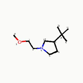 COCCN1CCC(C(C)(C)C)C1